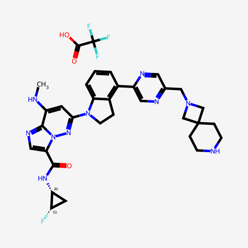 CNc1cc(N2CCc3c(-c4cnc(CN5CC6(CCNCC6)C5)cn4)cccc32)nn2c(C(=O)N[C@@H]3C[C@@H]3F)cnc12.O=C(O)C(F)(F)F